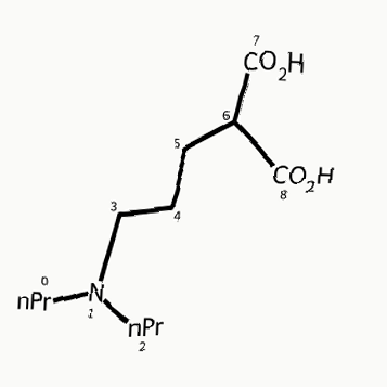 CCCN(CCC)CCCC(C(=O)O)C(=O)O